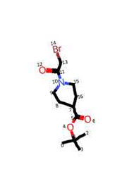 CC(C)(C)OC(=O)C1CCN(C(=O)CBr)CC1